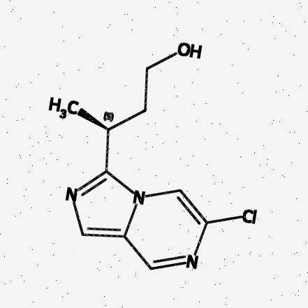 C[C@@H](CCO)c1ncc2cnc(Cl)cn12